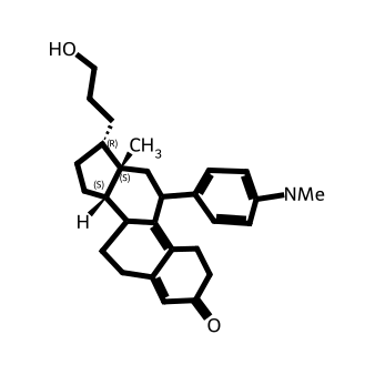 CNc1ccc(C2C[C@@]3(C)[C@@H](CCCO)CC[C@H]3C3CCC4=CC(=O)CCC4=C23)cc1